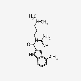 Cc1cccc2[nH]c(C(=O)N(CCCN(C)C)C(=N)N)cc12